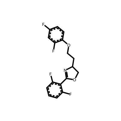 Fc1ccc(OCCC2COC(c3c(F)cccc3F)=N2)c(F)c1